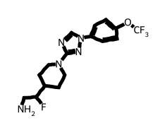 NCC(F)C1CCN(c2ncn(-c3ccc(OC(F)(F)F)cc3)n2)CC1